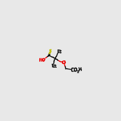 CCC(CC)(OCC(=O)O)C(O)=S